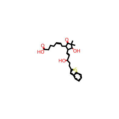 CC1(C)C(=O)C(C/C=C\CCCC(=O)O)C(/C=C/C(O)CCc2cc3ccccc3s2)C1O